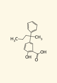 CCCC(C)(c1ccccc1)c1ccc(O)c(C(=O)O)c1